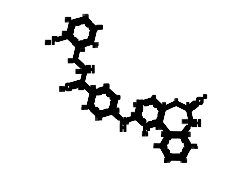 O=C1Cc2cnc(Nc3ccc(C(=O)NCc4ccccc4F)cc3)nc2-c2ccccc2N1